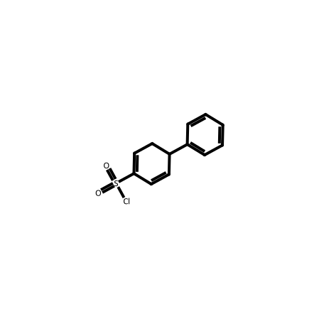 O=S(=O)(Cl)C1=CCC(c2ccccc2)C=C1